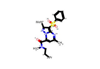 CNc1nn2c(C(=O)N(C)CCC(C)C)cc(C)nc2c1S(=O)(=O)c1ccccc1